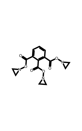 O=C(ON1CC1)c1cccc(C(=O)ON2CC2)c1C(=O)ON1CC1